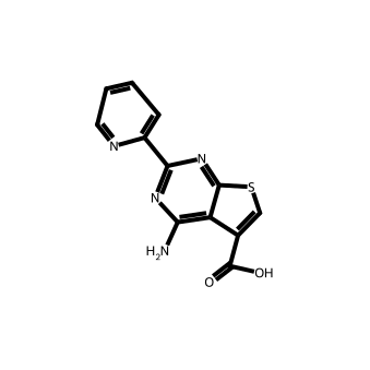 Nc1nc(-c2ccccn2)nc2scc(C(=O)O)c12